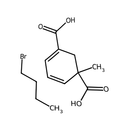 CC1(C(=O)O)C=CC=C(C(=O)O)C1.CCCCBr